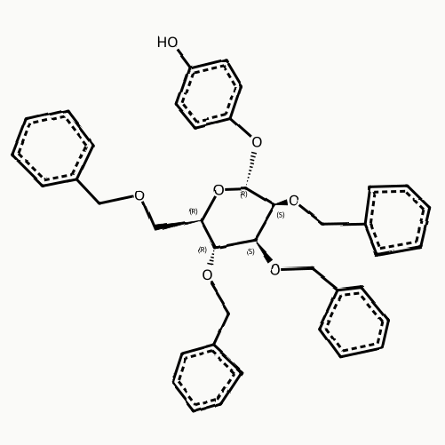 Oc1ccc(O[C@H]2O[C@H](COCc3ccccc3)[C@@H](OCc3ccccc3)[C@H](OCc3ccccc3)[C@@H]2OCc2ccccc2)cc1